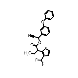 CCC(C(=O)OC(C#N)c1cccc(Oc2ccccc2)c1)c1sccc1C(F)F